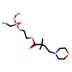 CC(C)(C)CP(=O)(OC(C)(C)C)SCCOC(=O)C(C)(C)CCN1CCOCC1